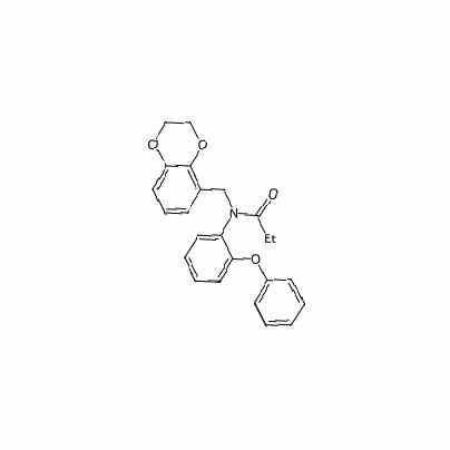 CCC(=O)N(Cc1cccc2c1OCCO2)c1ccccc1Oc1ccccc1